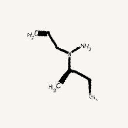 C=CCN(N)C(=C)CC